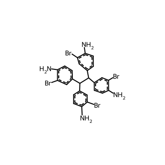 Nc1ccc(C(c2ccc(N)c(Br)c2)C(c2ccc(N)c(Br)c2)c2ccc(N)c(Br)c2)cc1Br